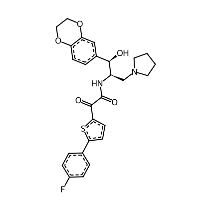 O=C(N[C@H](CN1CCCC1)[C@H](O)c1ccc2c(c1)OCCO2)C(=O)c1ccc(-c2ccc(F)cc2)s1